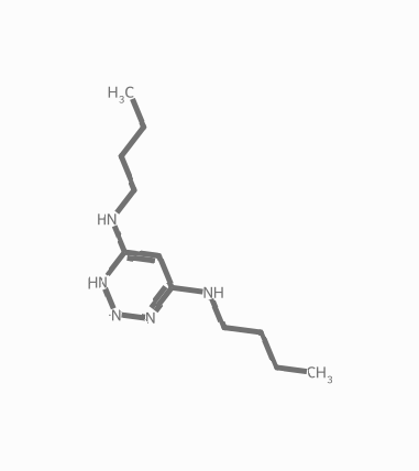 CCCCNC1=CC(NCCCC)=N[N]N1